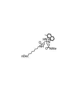 CCCCCCCCCCCCCCCCCNC(=O)OCC1(COC(=O)NC)Nc2cccc3ccc(C)c(c23)N1